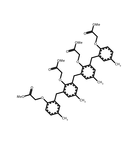 COC(=O)COc1ccc(C)cc1Cc1cc(C)cc(Cc2cc(C)cc(Cc3cc(C)ccc3OCC(=O)OC)c2OCC(=O)OC)c1OCC(=O)OC